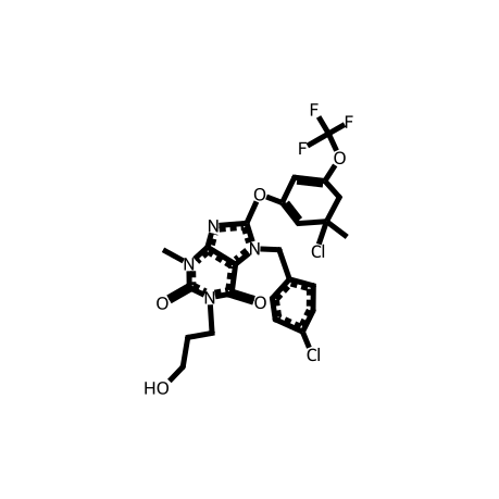 Cn1c(=O)n(CCCO)c(=O)c2c1nc(OC1=CC(C)(Cl)CC(OC(F)(F)F)=C1)n2Cc1ccc(Cl)cc1